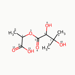 CC(OC(=O)C(O)C(C)(C)O)C(=O)O